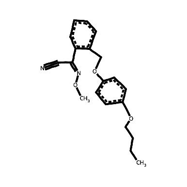 CCCCOc1ccc(OCc2ccccc2C(C#N)=NOC)cc1